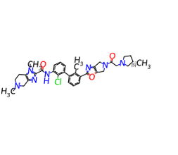 Cc1c(-c2nc3c(o2)CN(C(=O)CN2CC[C@H](C)C2)C3)cccc1-c1cccc(NC(=O)c2nc3c(n2C)CCN(C)C3)c1Cl